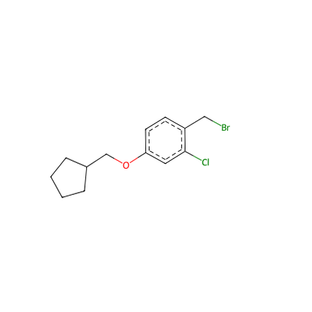 Clc1cc(OCC2CCCC2)ccc1CBr